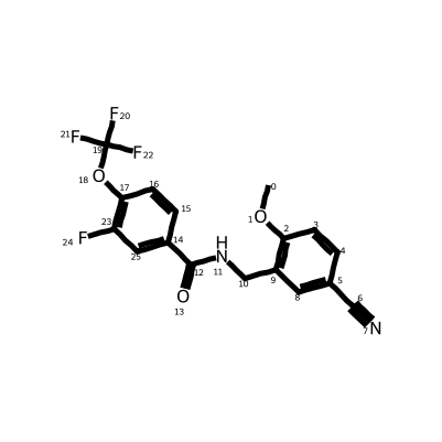 COc1ccc(C#N)cc1CNC(=O)c1ccc(OC(F)(F)F)c(F)c1